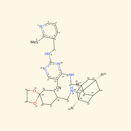 CSc1ncccc1CNc1ncc(C#N)c(NCC23CC4C[C@H](C2)[C@H](NCC2CCC5(CC2)OCCO5)[C@@H](C4)C3)n1